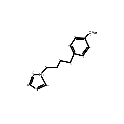 COc1ccc(CCCCn2cncn2)cc1